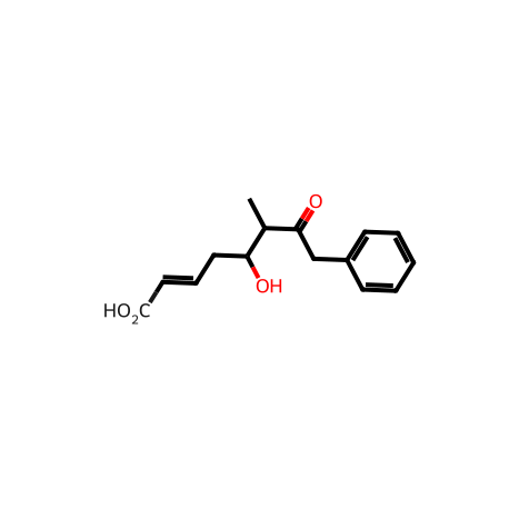 CC(C(=O)Cc1ccccc1)C(O)CC=CC(=O)O